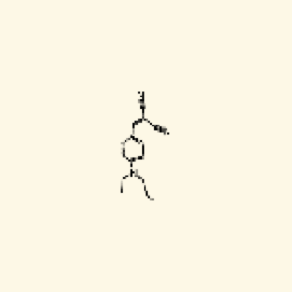 CCCN(CC)c1ccc(C=C(C#N)C#N)cc1